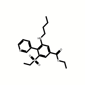 CCCCNc1cc(C(=O)OCC)cc(S(=O)(=O)CC)c1-c1cccnc1